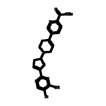 CCc1cnc(C2=CCC(N3CC=C(c4ccc(C(=O)NC)nc4)CC3)C2)nc1O